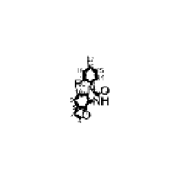 O=c1[nH]c2c3occc3ccc2n1-c1ccc(I)cc1F